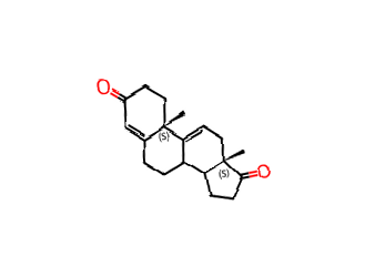 C[C@]12CCC(=O)C=C1CCC1C2=CC[C@]2(C)C(=O)CCC12